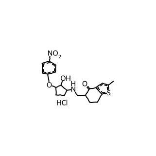 Cc1cc2c(s1)CCC(CNC1CCC(Oc3ccc([N+](=O)[O-])cc3)C1O)C2=O.Cl